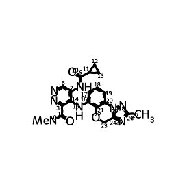 CNC(=O)c1nncc(NC(=O)C2CC2)c1Nc1cccc2c1OCc1nc(C)nn1-2